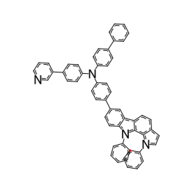 c1ccc(-c2ccc(N(c3ccc(-c4cccnc4)cc3)c3ccc(-c4ccc5c(c4)c4ccc6ccn(-c7ccccc7)c6c4n5-c4ccccc4)cc3)cc2)cc1